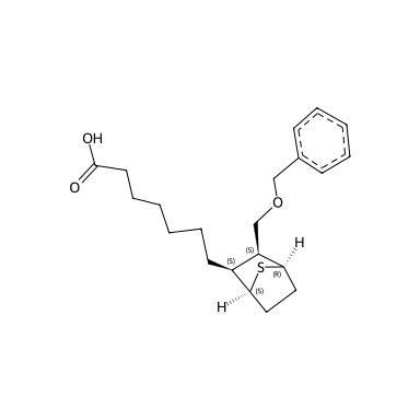 O=C(O)CCCCCC[C@H]1[C@@H](COCc2ccccc2)[C@H]2CC[C@@H]1S2